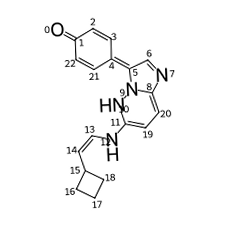 O=C1C=CC(=c2cnc3n2NC(N/C=C\C2CCC2)=CC=3)C=C1